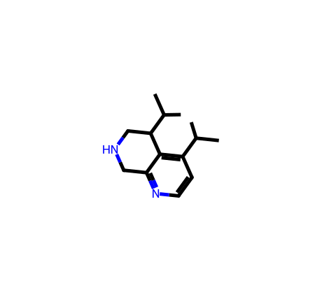 CC(C)c1ccnc2c1C(C(C)C)CNC2